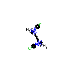 Cn1cc[n+](CCCCCC[n+]2ccn(C)c2/N=N/c2ccc(Cl)cc2)c1/N=N/c1ccc(Cl)cc1